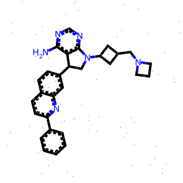 Nc1ncnc2c1C(c1ccc3ccc(-c4ccccc4)nc3c1)CN2C1CC(CN2CCC2)C1